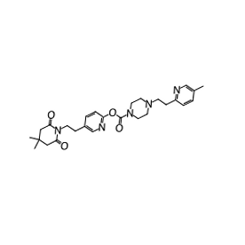 Cc1ccc(CCN2CCN(C(=O)Oc3ccc(CCN4C(=O)CC(C)(C)CC4=O)cn3)CC2)nc1